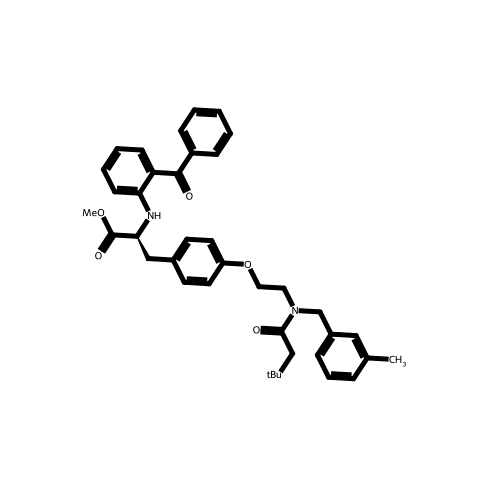 COC(=O)[C@H](Cc1ccc(OCCN(Cc2cccc(C)c2)C(=O)CC(C)(C)C)cc1)Nc1ccccc1C(=O)c1ccccc1